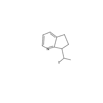 CC(I)C1CCc2cccnc21